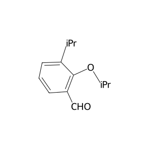 CC(C)Oc1c(C=O)cccc1C(C)C